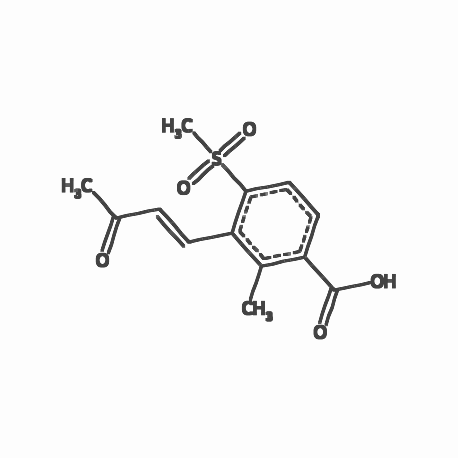 CC(=O)/C=C/c1c(S(C)(=O)=O)ccc(C(=O)O)c1C